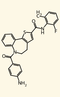 Cc1cccc(F)c1NC(=O)c1cc2c(s1)-c1ccccc1N(C(=O)c1ccc(N)cc1)CC2